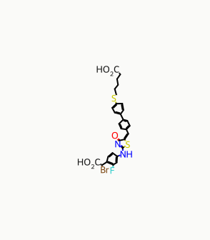 O=C(O)CCCCCSc1ccc(-c2ccc(C=C3SC(Nc4ccc(C(Br)C(=O)O)c(F)c4)=NC3=O)cc2)cc1